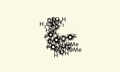 COC(=O)N[C@H](C(=O)N1CCC[C@H]1c1nc2cc([C@H]3CC[C@H](c4cc5nc([C@@H]6CCCN6C(=O)[C@H]([C@@H](C)OC)N(C)C(=O)O)[nH]c5cc4F)N3c3cc(F)c(N4CCC(c5ccc(F)cc5)CC4)c(F)c3)c(F)cc2[nH]1)[C@@H](C)OC